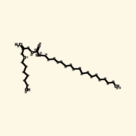 C=C(COCCCCCCO)COC(=O)NCCCCCCCCCCCCCCCCCC